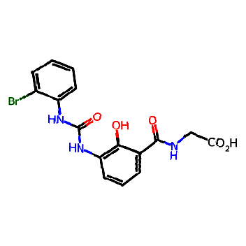 O=C(O)CNC(=O)c1cccc(NC(=O)Nc2ccccc2Br)c1O